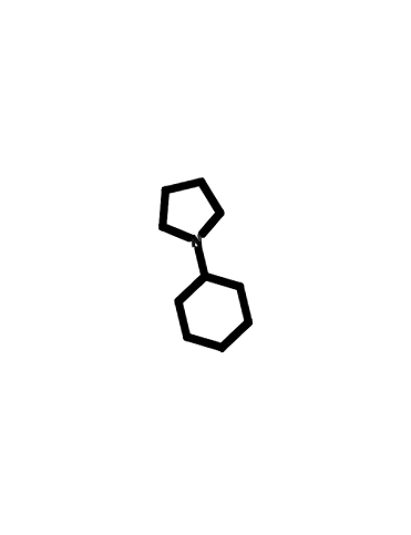 [CH]1CCC(N2CCCC2)CC1